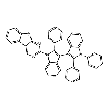 c1ccc(-c2c(-c3c(-c4ccccc4)n(-c4ncc5c(n4)sc4ccccc45)c4ccccc34)c3ccccc3n2-c2ccccc2)cc1